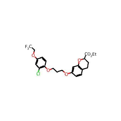 CCOC(=O)C1CCc2ccc(OCCCOc3ccc(OCC(F)(F)F)cc3Cl)cc2O1